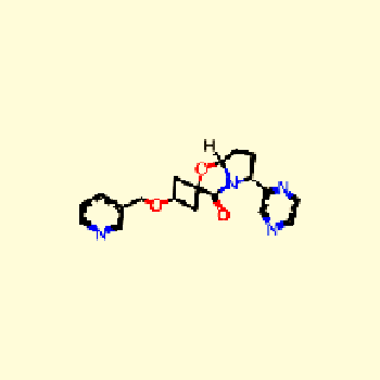 O=C1N2[C@@H](CC[C@H]2c2cnccn2)OC12CC(OCc1cccnc1)C2